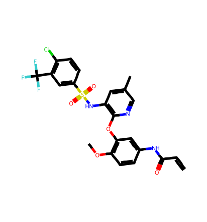 C=CC(=O)Nc1ccc(OC)c(Oc2ncc(C)cc2NS(=O)(=O)c2ccc(Cl)c(C(F)(F)F)c2)c1